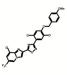 COc1ccc(COc2cc(Cl)c(-c3noc(-c4cn5cc(C(F)(F)F)cc(Cl)c5n4)n3)cc2Cl)cc1